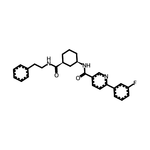 O=C(N[C@@H]1CCC[C@H](C(=O)NCCc2ccccc2)C1)c1ccc(-c2cccc(F)c2)nc1